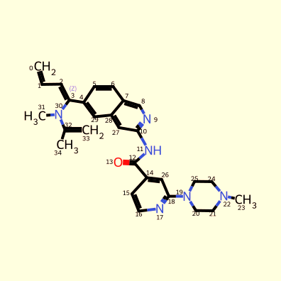 C=C/C=C(/c1ccc2cnc(NC(=O)c3ccnc(N4CCN(C)CC4)c3)cc2c1)N(C)C(=C)C